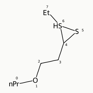 CCCOCCC1S[SH]1CC